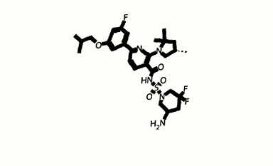 CC(C)COc1cc(F)cc(-c2ccc(C(=O)NS(=O)(=O)N3CC(N)CC(F)(F)C3)c(N3C[C@@H](C)CC3(C)C)n2)c1